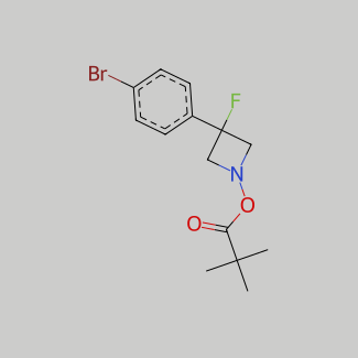 CC(C)(C)C(=O)ON1CC(F)(c2ccc(Br)cc2)C1